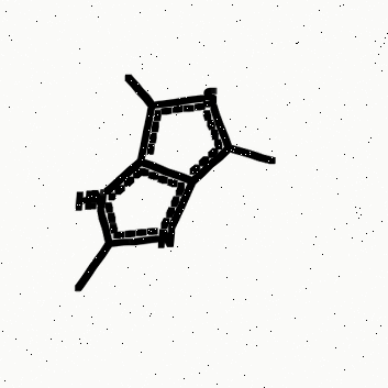 Cc1nc2c(C)sc(C)c2[nH]1